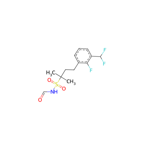 CC(C)(CCc1cccc(C(F)F)c1F)S(=O)(=O)NC=O